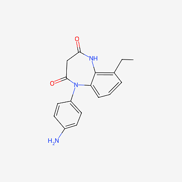 CCc1cccc2c1NC(=O)CC(=O)N2c1ccc(N)cc1